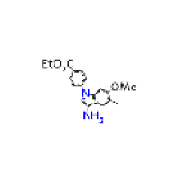 CCOC(=O)c1ccc(-n2cc(N)c3cc(C)c(OC)cc32)cc1